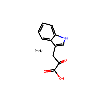 O=C(O)C(=O)Cc1c[nH]c2ccccc12.[PbH2]